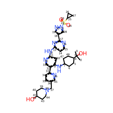 CC(C)(O)C1CCC(Nc2cc(Nc3ccnc(-c4cnn(S(=O)(=O)C5CC5)c4)n3)ncc2-c2ccc(CN3CCC(O)CC3)cn2)CC1